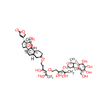 CC(=O)O[C@H]1C[C@H](O[C@H]([C@@H](C)O)[C@@H](O)CCO[C@H]([C@@H](C)O)[C@@H](O)CCO[C@H]2CC[C@@]3(C)[C@H](CC[C@@H]4[C@@H]3C[C@@H](O)[C@]3(C)[C@@H](C5=CC(=O)OC5)CC[C@]43O)C2)O[C@H](C)[C@H]1O[C@@H]1O[C@H](CO)[C@@H](O)[C@H](O)[C@H]1O